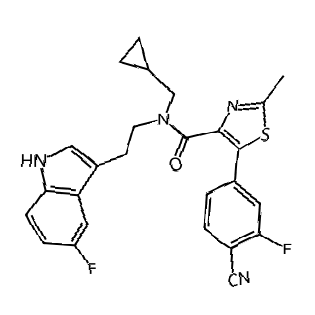 Cc1nc(C(=O)N(CCc2c[nH]c3ccc(F)cc23)CC2CC2)c(-c2ccc(C#N)c(F)c2)s1